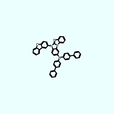 c1ccc(-c2ccc(N(c3ccc(-c4ccccc4)cc3)c3ccc4c(c3)n3c5ccccc5nc3n4-c3ccc4oc5ccccc5c4c3)cc2)cc1